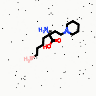 BCCCC[C@@](N)(CCN1CCCCC1)C(=O)O